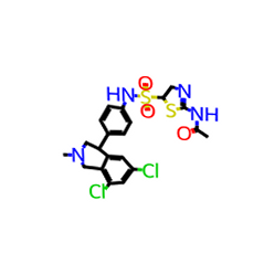 CC(=O)NC1=NCC(S(=O)(=O)Nc2ccc(C3CN(C)Cc4c(Cl)cc(Cl)cc43)cc2)S1